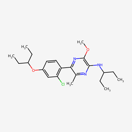 CCC(CC)Nc1nc(C)c(-c2ccc(OC(CC)CC)cc2Cl)nc1OC